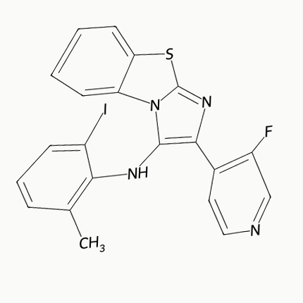 Cc1cccc(I)c1Nc1c(-c2ccncc2F)nc2sc3ccccc3n12